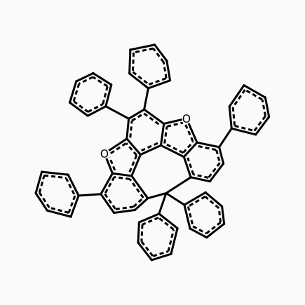 c1ccc(-c2ccc3c4c2oc2c(-c5ccccc5)c(-c5ccccc5)c5oc6c(-c7ccccc7)ccc(c6c5c24)C3(c2ccccc2)c2ccccc2)cc1